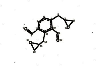 O=[C]c1ccc(CC2CO2)c([C]=O)c1CC1CO1